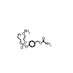 BOCCOP(=O)(OCCC(C)C)Oc1ccc(COC(N)=O)cc1